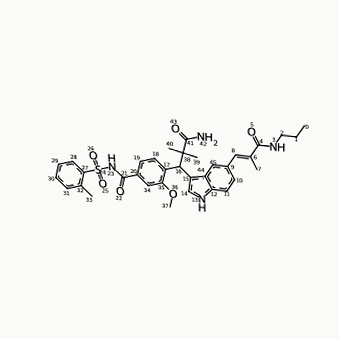 CCCNC(=O)/C(C)=C/c1ccc2[nH]cc(C(c3ccc(C(=O)NS(=O)(=O)c4ccccc4C)cc3OC)C(C)(C)C(N)=O)c2c1